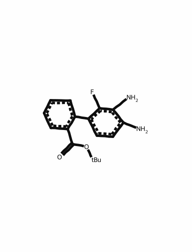 CC(C)(C)OC(=O)c1ccccc1-c1ccc(N)c(N)c1F